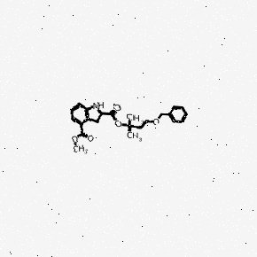 COC(=O)c1cccc2c1CC(C(=O)OC(C)(C)CCOCc1ccccc1)N2